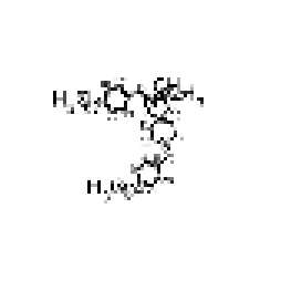 COc1ccc(CN2CCC3(CC2)CN(Cc2ccc(OC)cc2)C(C)(C)C3)cc1